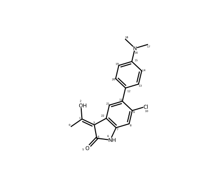 C/C(O)=C1\C(=O)Nc2cc(Cl)c(-c3ccc(N(C)C)cc3)cc21